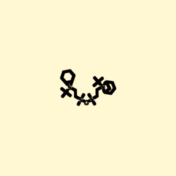 CC(C)(C)[Si]1(CC[Si](C)(C)O[Si](C)(C)CC[Si]2(C(C)(C)C)C3CCCCC32)C2CCCC1C2